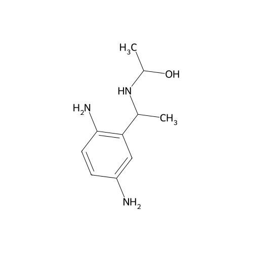 CC(O)NC(C)c1cc(N)ccc1N